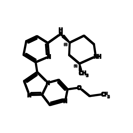 C[C@H]1C[C@@H](Nc2cccc(-c3cnc4cnc(OCC(F)(F)F)cn34)n2)CCN1